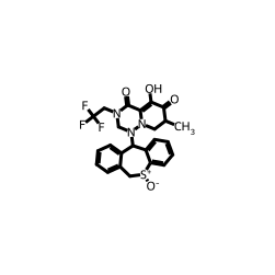 CC1CN2C(=C(O)C1=O)C(=O)N(CC(F)(F)F)CN2C1c2ccccc2C[S+]([O-])c2ccccc21